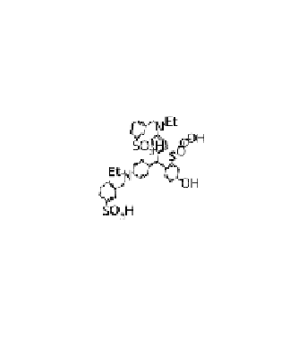 CCN(Cc1cccc(S(=O)(=O)O)c1)c1ccc(C(=C2C=CC(=[N+](CC)Cc3cccc(S(=O)(=O)O)c3)C=C2)c2ccc(O)cc2SOOO)cc1